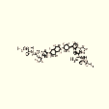 COC(=O)NCC(=O)N1CCC[C@H]1c1ncc(-c2ccc3cc(-c4ccc(-c5cnc([C@@H]6CCCN6C(=O)[C@H](C)NC(=O)OC)[nH]5)cc4)ccc3c2)[nH]1